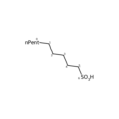 CCCCCCCCC[CH]S(=O)(=O)O